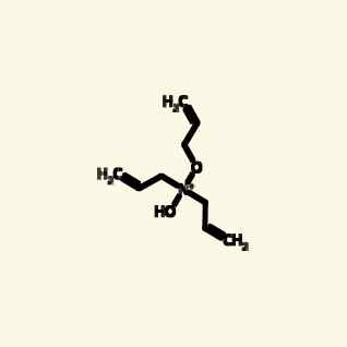 C=CCO[N+](O)(CC=C)CC=C